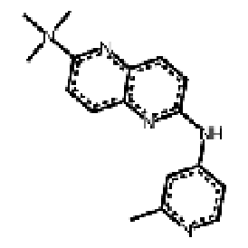 Cc1cc(Nc2ccc3nc([N+](C)(C)C)ccc3n2)ccn1